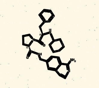 Nc1nccc2cc(CNC(=O)[C@@H]3CCCN3C(=O)[C@@H](Cc3ccccc3)NC3CCCCC3)ccc12